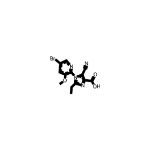 CCc1nc(C(=O)O)c(C#N)n1-c1ncc(Br)cc1OC